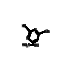 CC(C)(C)c1ccnc(S)n1.O=C(O)O